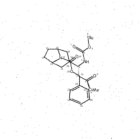 COC(=O)C[C@@H](NC(=O)OC(C)(C)C)C1CC2CCC(C1)N2C(=O)OCc1ccccc1